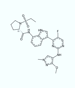 CCS(=O)(=O)N1CCC[C@H]1C(=O)Nc1cccc2c(-c3nc(Nc4cn(C)nc4OC)ncc3F)c[nH]c12